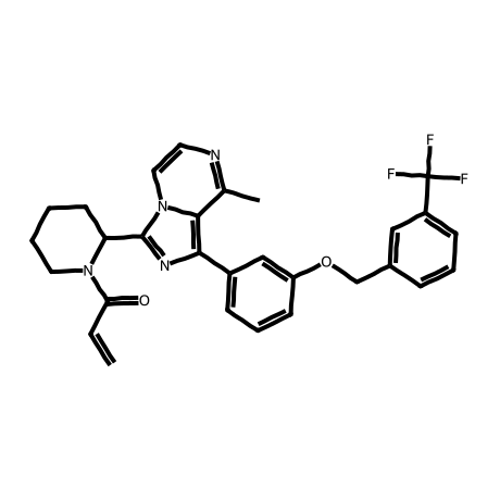 C=CC(=O)N1CCCCC1c1nc(-c2cccc(OCc3cccc(C(F)(F)F)c3)c2)c2c(C)nccn12